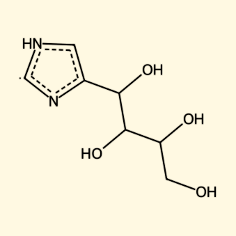 OCC(O)C(O)C(O)c1c[nH][c]n1